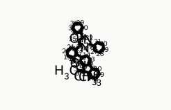 CC(C)(C)C1(C)c2ccccc2-c2ccc3c(oc4cccc(-c5nc(-c6ccccc6)nc6c5oc5ccccc56)c43)c21